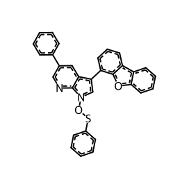 c1ccc(SOn2cc(-c3cccc4c3oc3ccccc34)c3cc(-c4ccccc4)cnc32)cc1